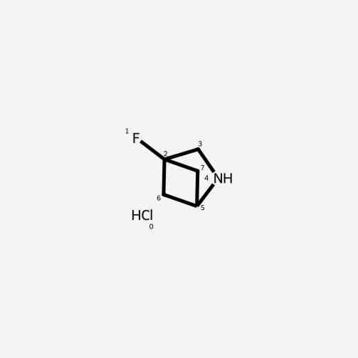 Cl.FC12CNC(C1)C2